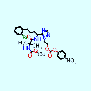 CC(C)(C)OC(=O)NC(C)(C)C(=O)NC(CCCc1ccccc1Br)c1ncnn1CCOC(=O)Oc1ccc([N+](=O)[O-])cc1